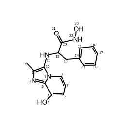 Cc1nc2c(O)cccn2c1NC(Cc1ccccc1)C(=O)NO